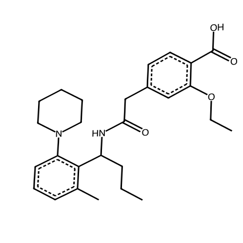 CCCC(NC(=O)Cc1ccc(C(=O)O)c(OCC)c1)c1c(C)cccc1N1CCCCC1